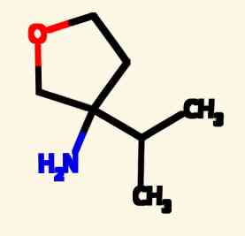 CC(C)C1(N)CCOC1